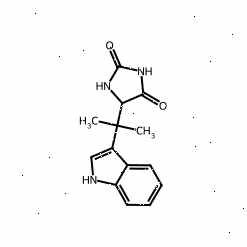 CC(C)(c1c[nH]c2ccccc12)C1NC(=O)NC1=O